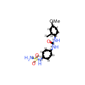 COc1ccc(NC(=O)Nc2ccc(NS(N)(=O)=O)cc2)c(C)c1